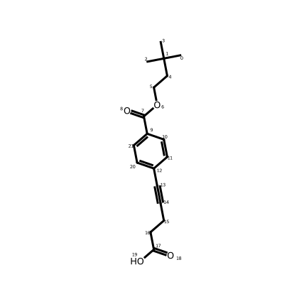 CC(C)(C)CCOC(=O)c1ccc(C#CCCC(=O)O)cc1